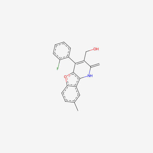 C=C1Nc2c(oc3ccc(C)cc23)C(c2ccccc2F)=C1CO